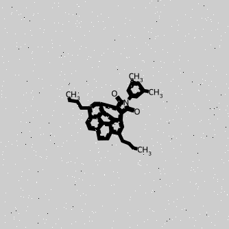 CCCCc1cc2c3c(=O)n(-c4cc(C)cc(C)c4)c(=O)c3c3cc(CCCC)c4ccc5ccc1c1c5c4c3c21